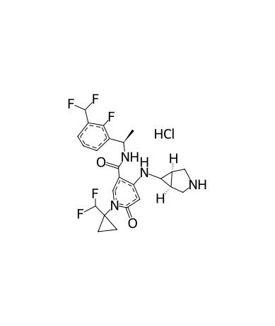 C[C@@H](NC(=O)c1cn(C2(C(F)F)CC2)c(=O)cc1NC1[C@H]2CNC[C@@H]12)c1cccc(C(F)F)c1F.Cl